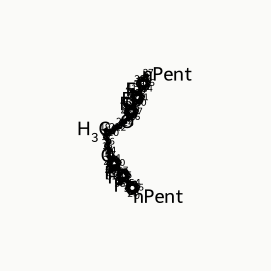 CCCCCC1CCC(c2ccc(-c3ccc(OCCCCC(C)CCCCOc4ccc(-c5ccc(C6CCC(CCCCC)CC6)c(F)c5F)c(F)c4)cc3F)c(F)c2F)CC1